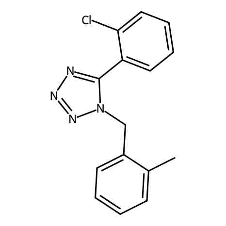 Cc1ccccc1Cn1nnnc1-c1ccccc1Cl